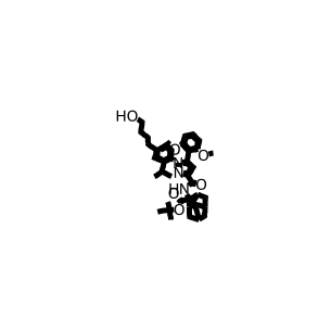 COc1cccc(OC)c1-c1cc(C(=O)NC2(C(=O)OC(C)(C)C)C3CC4CC(C3)CC2C4)nn1-c1ccc(CCCCO)cc1C(C)C